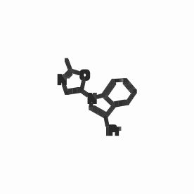 Cc1ncc(-n2cc(C(C)C)c3ccccc32)o1